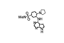 CNS(=O)(=O)c1ccc(N2CCCC2)c(Nc2ncnc3[nH]ccc23)c1